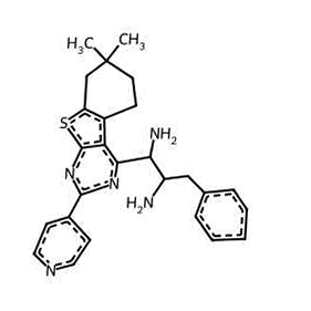 CC1(C)CCc2c(sc3nc(-c4ccncc4)nc(C(N)C(N)Cc4ccccc4)c23)C1